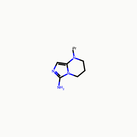 CC(C)N1CCCn2c1cnc2N